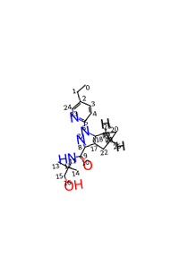 CCc1ccc(-n2nc(C(=O)NC(C)(C)CO)c3c2[C@@H]2C[C@@H]2C3)nc1